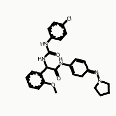 COc1ccccc1C(NC(=O)Nc1ccc(Cl)cc1)C(=O)NC1=CCC(=NN2CCCC2)C=C1